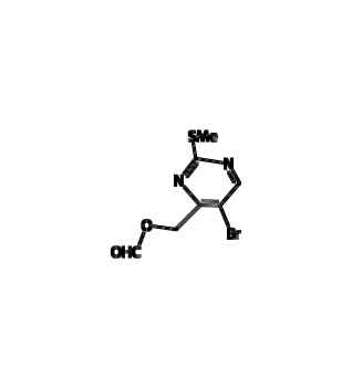 CSc1ncc(Br)c(COC=O)n1